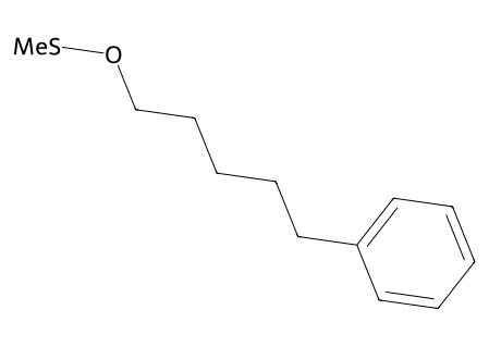 CSOCCCCCc1ccccc1